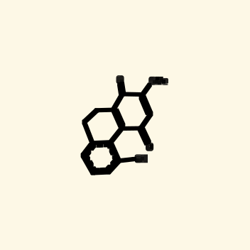 COC1=CC(=O)C2=C(CCc3cccc(O)c32)C1=O